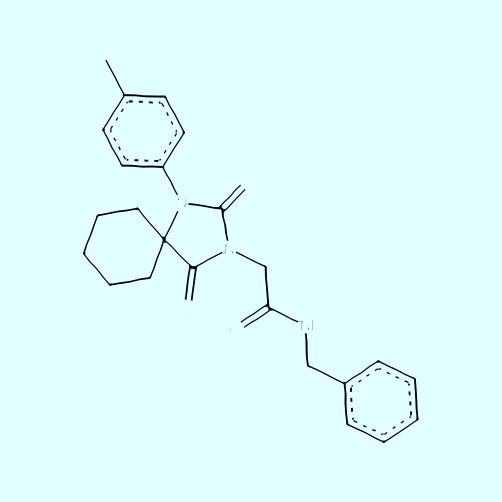 Cc1ccc(N2C(=O)N(CC(=O)NCc3ccccc3)C(=O)C23CCCCC3)cc1